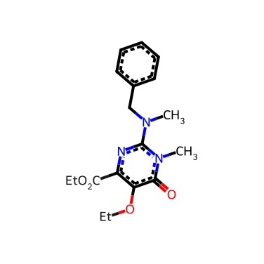 CCOC(=O)c1nc(N(C)Cc2ccccc2)n(C)c(=O)c1OCC